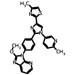 COc1nc2cccnc2n1-c1ccc(-c2nc(-c3nc(C)cs3)cn2-c2ccc(C)nc2)cc1